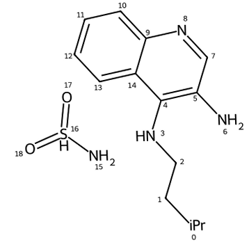 CC(C)CCNc1c(N)cnc2ccccc12.N[SH](=O)=O